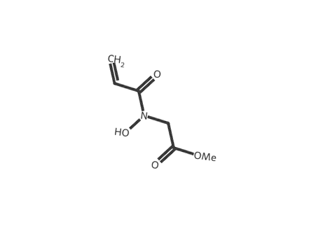 C=CC(=O)N(O)CC(=O)OC